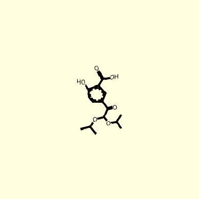 CC(C)OC(OC(C)C)C(=O)c1ccc(O)c(C(=O)O)c1